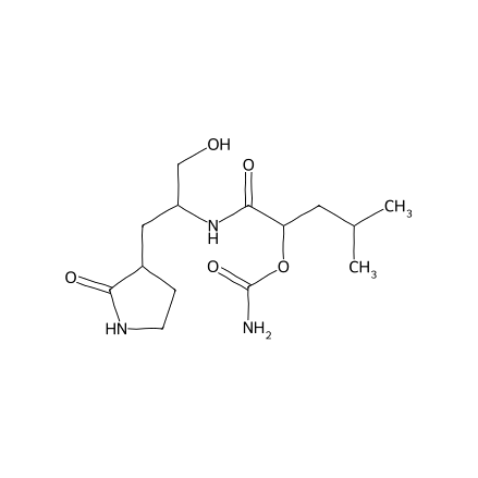 CC(C)CC(OC(N)=O)C(=O)NC(CO)CC1CCNC1=O